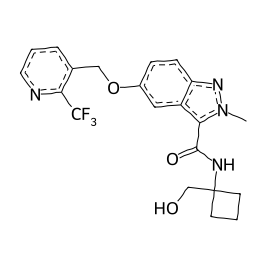 Cn1nc2ccc(OCc3cccnc3C(F)(F)F)cc2c1C(=O)NC1(CO)CCC1